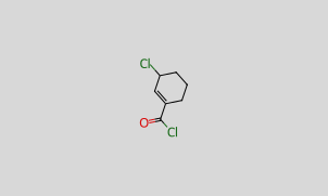 O=C(Cl)C1=CC(Cl)CCC1